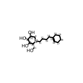 OC[C@@H]1[C@@H](O)[C@H](O)[C@@H](O)CN1CCCCC1=CCCCC1